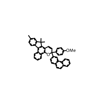 COc1ccc(C2(c3ccc4ccc5ccccc5c4c3)C=Cc3c4c(c5ccccc5c3O2)-c2ccc(C)cc2C4(C)C)cc1